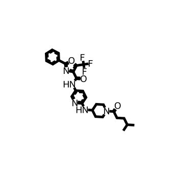 CC(C)CCC(=O)N1CCC(Nc2ccc(NC(=O)c3nc(-c4ccccc4)oc3C(F)(F)F)cn2)CC1